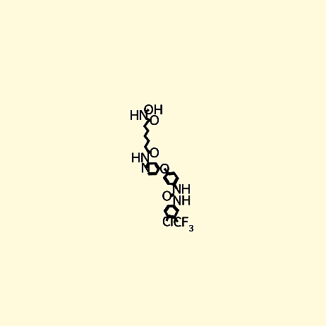 O=C(CCCCCC(=O)Nc1cc(Oc2ccc(NC(=O)Nc3ccc(Cl)c(C(F)(F)F)c3)cc2)ccn1)NO